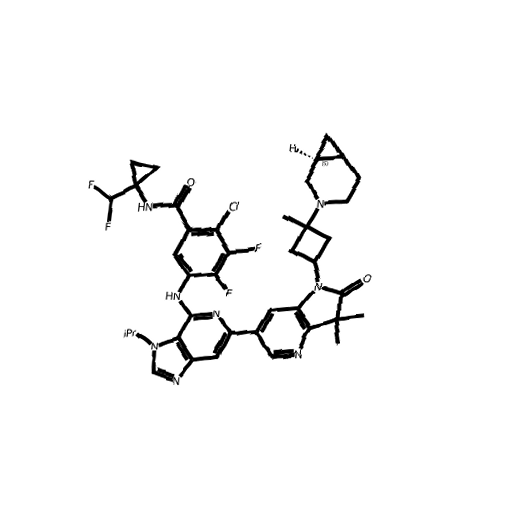 CC(C)n1cnc2cc(-c3cnc4c(c3)N(C3CC(C)(N5CCC6C[C@@H]6C5)C3)C(=O)C4(C)C)nc(Nc3cc(C(=O)NC4(C(F)F)CC4)c(Cl)c(F)c3F)c21